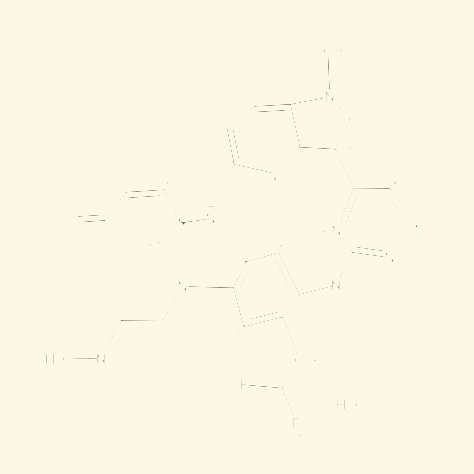 C=C/C=C\C(=O)Nc1cc(Nc2nccc(-c3cn(C)c4ccccc34)n2)c(OC(F)F)cc1N(C)CCN(C)C.CS(=O)(=O)O